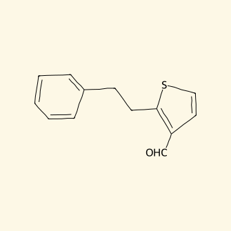 O=Cc1ccsc1CCc1ccccc1